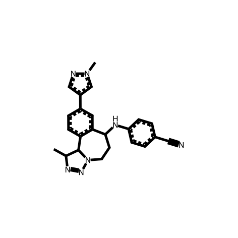 CC1N=NN2CCC(Nc3ccc(C#N)cc3)c3cc(-c4cnn(C)c4)ccc3C12